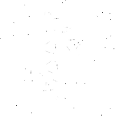 CC(C)Nc1cc(-c2ccc(CC(C[C@@H](O)c3ccc(Cl)nc3)(OC(N)=O)C(C)(C)C)cc2)ccc1C(=O)NS(C)(=O)=O